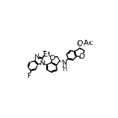 CCc1nc2ccc(F)cc2n1-c1cccc2c1OC[C@@H]2Nc1ccc2c(c1)OC[C@H]2OC(C)=O